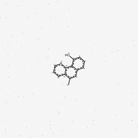 Cc1cc2cccc(O)c2c2ncccc12